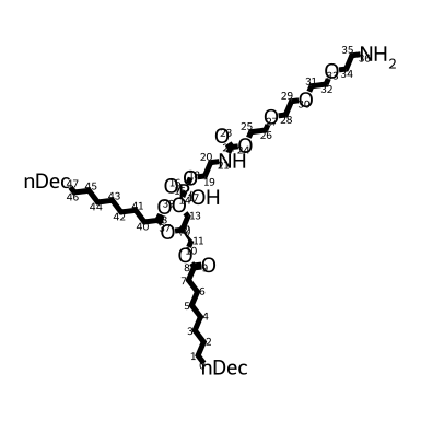 CCCCCCCCCCCCCCCCCC(=O)OC[C@H](COP(=O)(O)OCCNC(=O)OCCOCCOCCOCCN)OC(=O)CCCCCCCCCCCCCCCCC